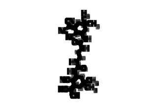 CC1(C)CC(NC(=O)NCCNC(=O)NC2=C(C#N)C(=C(C#N)C#N)CC(C)(C)C2)=C(C#N)C(=C(C#N)C#N)C1